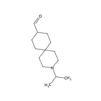 CC(C)N1CCC2(CCC(C=O)CC2)CC1